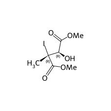 COC(=O)[C@@H](O)[C@@](C)(I)C(=O)OC